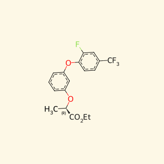 CCOC(=O)[C@@H](C)Oc1cccc(Oc2ccc(C(F)(F)F)cc2F)c1